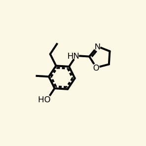 CCc1c(NC2=NCCO2)ccc(O)c1C